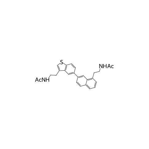 CC(=O)NCCc1cccc2ccc(-c3ccc4scc(CCNC(C)=O)c4c3)cc12